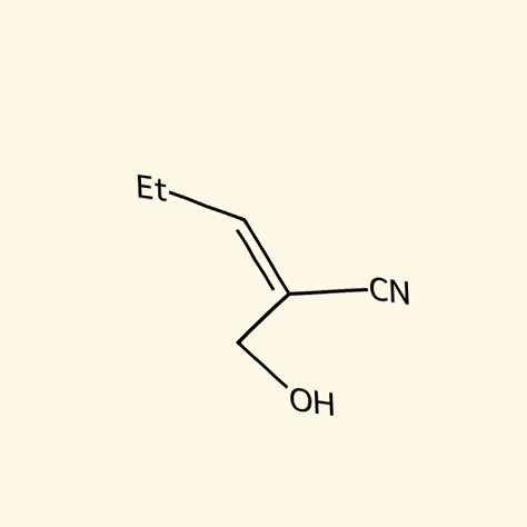 CCC=C(C#N)CO